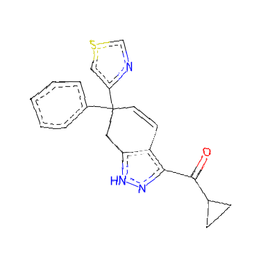 O=C(c1n[nH]c2c1C=CC(c1ccccc1)(c1cscn1)C2)C1CC1